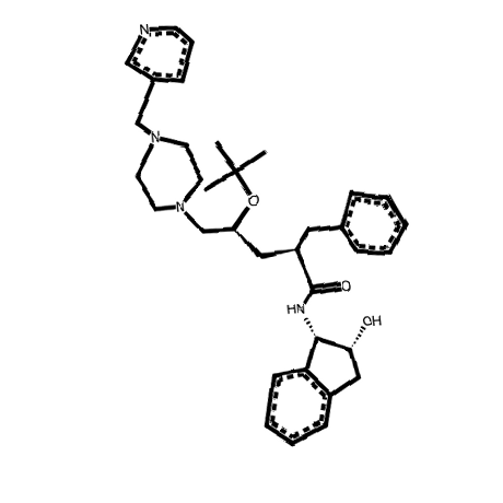 CC(C)(C)O[C@@H](C[C@@H](Cc1ccccc1)C(=O)N[C@H]1c2ccccc2C[C@H]1O)CN1CCN(Cc2cccnc2)CC1